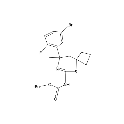 CC(C)(C)OC(=O)NC1=NC(C)(c2cc(Br)ccc2F)CC2(CCC2)S1